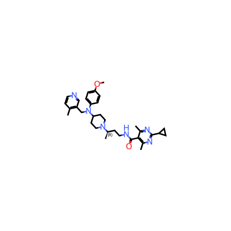 COc1ccc(N(Cc2cnccc2C)C2CCN([C@H](C)CCNC(=O)c3c(C)nc(C4CC4)nc3C)CC2)cc1